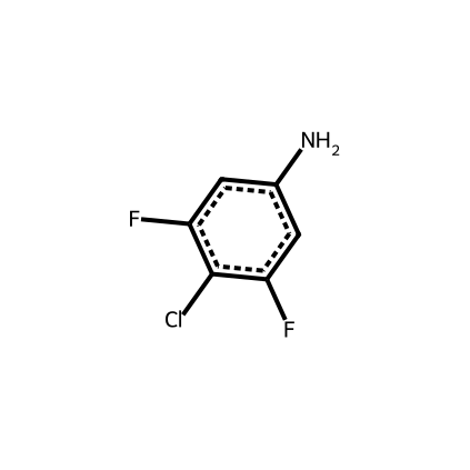 Nc1cc(F)c(Cl)c(F)c1